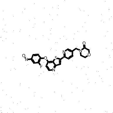 O=Nc1ccc(Oc2ccnc3cc(-c4ccc(CN5CCOCC5=O)cn4)sc23)c(F)c1